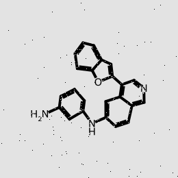 Nc1cccc(Nc2ccc3cncc(-c4cc5ccccc5o4)c3c2)c1